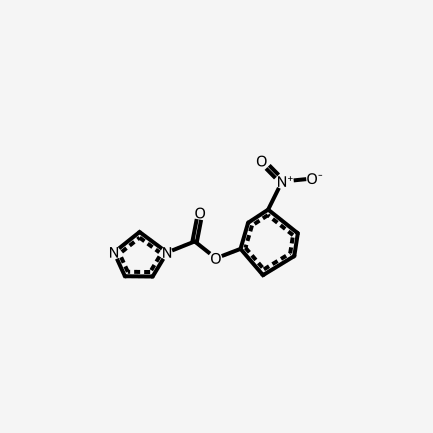 O=C(Oc1cccc([N+](=O)[O-])c1)n1ccnc1